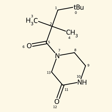 CC(C)(C)CC(C)(C)C(=O)N1CCNC(=O)C1